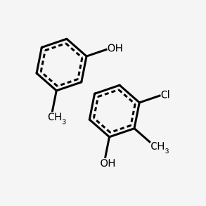 Cc1c(O)cccc1Cl.Cc1cccc(O)c1